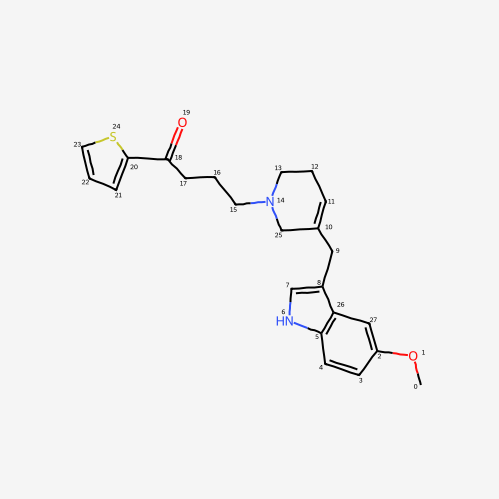 COc1ccc2[nH]cc(CC3=CCCN(CCCC(=O)c4cccs4)C3)c2c1